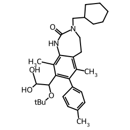 Cc1ccc(-c2c(C)c3c(c(C)c2C(OC(C)(C)C)C(O)O)NC(=O)N(CC2CCCCC2)CC3)cc1